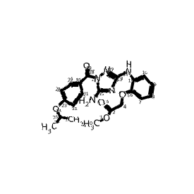 COC(=O)COc1ccccc1Nc1nc(N)n(C(=O)c2ccc(OC(C)C)cc2)n1